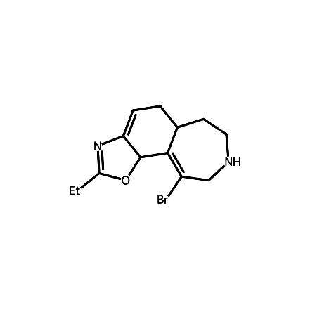 CCC1=NC2=CCC3CCNCC(Br)=C3C2O1